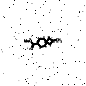 COC(=O)C1CCC2(CC1)CC(C)C2